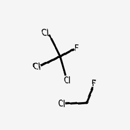 FC(Cl)(Cl)Cl.FCCl